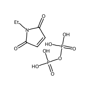 CCN1C(=O)C=CC1=O.O=P(O)(O)OP(=O)(O)O